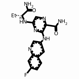 CC[C@@H](Nc1cnc(C(N)=O)c(Nc2cnc3cc(F)ccc3c2)n1)C(N)=O